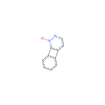 [O-][n+]1nccc2c1-c1ccccc1-2